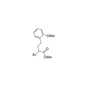 COC(=O)C(CCc1ccccc1OC)C(C)=O